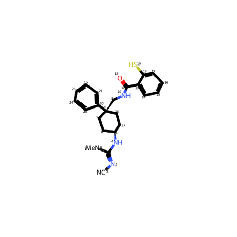 CN/C(=N\C#N)N[C@H]1CC[C@](CNC(=O)c2ccccc2S)(c2ccccc2)CC1